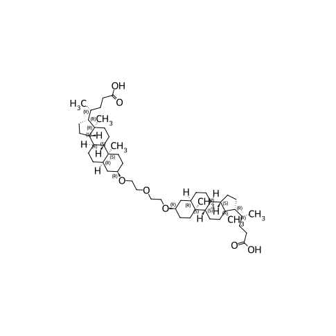 C[C@H](CCC(=O)O)[C@H]1CC[C@H]2[C@@H]3CC[C@@H]4C[C@H](OCCOCCO[C@@H]5CC[C@@]6(C)[C@H](CC[C@@H]7[C@@H]6CC[C@]6(C)[C@@H]([C@H](C)CCC(=O)O)CC[C@@H]76)C5)CC[C@]4(C)[C@H]3CC[C@]12C